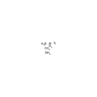 B.C.[AlH3].[SiH4].[Ti]